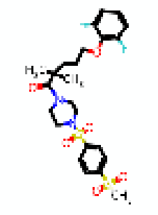 CC(C)(CCCOc1c(F)cccc1F)C(=O)N1CCN(S(=O)(=O)c2ccc(S(C)(=O)=O)cc2)CC1